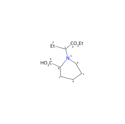 CCOC(=O)C(CC)N1CCCCC1C(=O)O